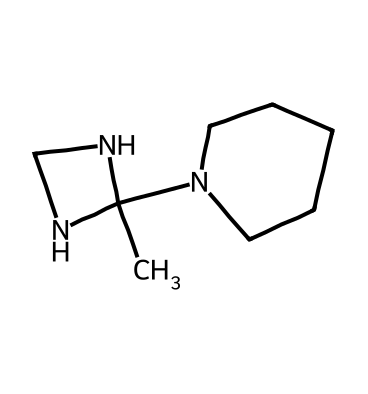 CC1(N2CCCCC2)NCN1